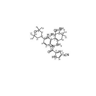 BC1=C(c2nc(C3CC(C)(C)OC(C)(C)C3)ccc2NC(=O)c2nc(C#N)c[nH]2)C(B)(O)C(B)C(C)(C)C1